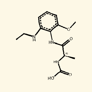 CCNc1cccc(OC)c1NC(=O)[C@@H](C)NC(=O)O